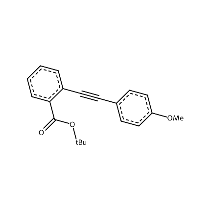 COc1ccc(C#Cc2ccccc2C(=O)OC(C)(C)C)cc1